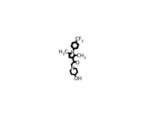 Cc1cc(C(=O)CN2CCC(O)CC2)c(C)n1-c1ccc(C(F)(F)F)cc1